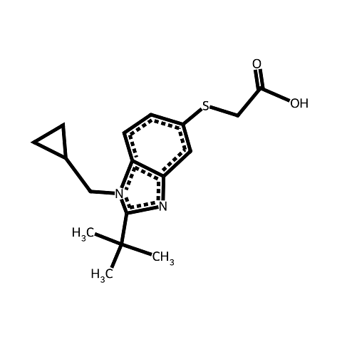 CC(C)(C)c1nc2cc(SCC(=O)O)ccc2n1CC1CC1